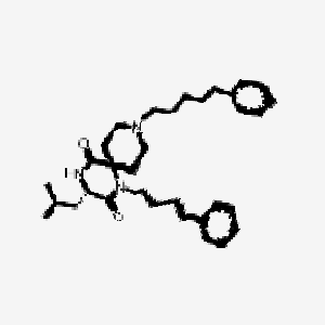 CC(C)C[C@@H]1NC(=O)C2(CCN(CCCCCc3ccccc3)CC2)N(CCCCc2ccccc2)C1=O